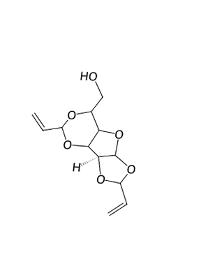 C=CC1OC(CO)C2OC3OC(C=C)O[C@H]3C2O1